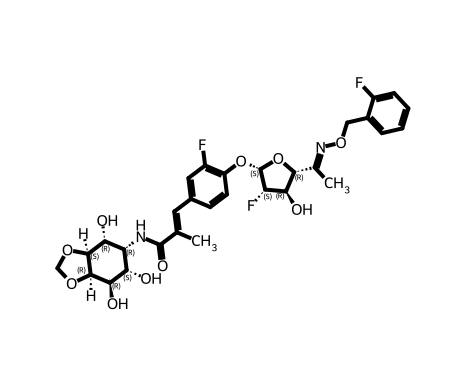 CC(=Cc1ccc(O[C@@H]2O[C@H](C(C)=NOCc3ccccc3F)[C@@H](O)[C@@H]2F)c(F)c1)C(=O)N[C@@H]1[C@H](O)[C@@H](O)[C@H]2OCO[C@H]2[C@@H]1O